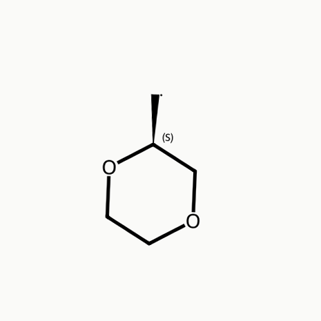 [CH2][C@H]1COCCO1